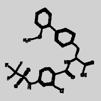 COc1ccccc1-c1ccc(C[C@H](NC(=O)c2ccc(NS(=O)(=O)C(F)(F)F)cc2Cl)C(=O)O)cc1